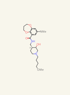 CNc1cc2c(c(C(=O)NC[C@@H]3CCN(CCCCOC)CC3O)c1)OCCCO2